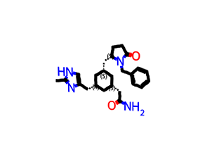 Cc1nc(C[C@H]2C[C@@H](CC(N)=O)C[C@@H](C[C@@H]3CCC(=O)N3Cc3ccccc3)C2)c[nH]1